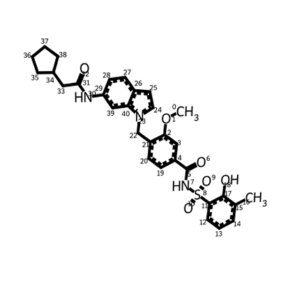 COc1cc(C(=O)NS(=O)(=O)c2cccc(C)c2O)ccc1Cn1ccc2ccc(NC(=O)CC3CCCC3)cc21